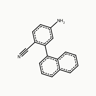 N#Cc1ccc(N)cc1-c1cccc2ccccc12